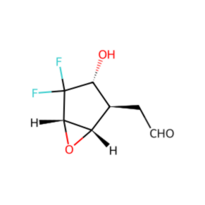 O=CC[C@H]1[C@@H]2O[C@@H]2C(F)(F)[C@@H]1O